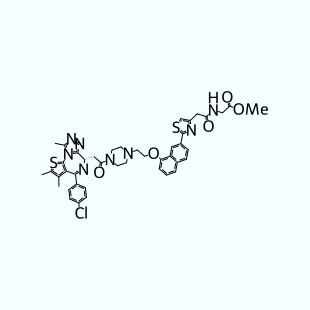 COC(=O)CNC(=O)Cc1csc(-c2ccc3cccc(OCCN4CCN(C(=O)C[C@@H]5N=C(c6ccc(Cl)cc6)c6c(sc(C)c6C)-n6c(C)nnc65)CC4)c3c2)n1